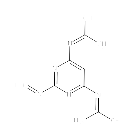 C=Nc1nc(N=C(C)C)cc(N=C(C)C)n1